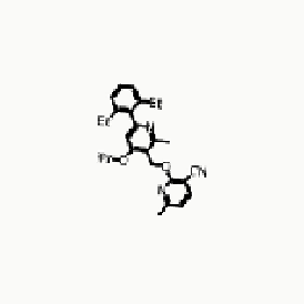 CCc1cccc(CC)c1-c1cc(OC(C)C)c(COc2nc(C)ccc2C#N)c(C)n1